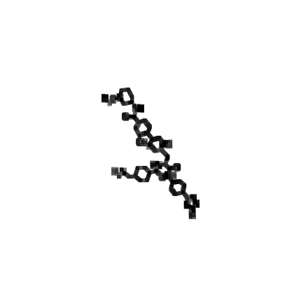 Cc1cc(C(=O)N[C@H]2CCCN(C)C2)ccc1-c1ccc(C[C@H](NC(=O)C2CCC(CN)CC2)C(=O)Nc2ccc(-c3nn[nH]n3)cc2)cc1.Cl